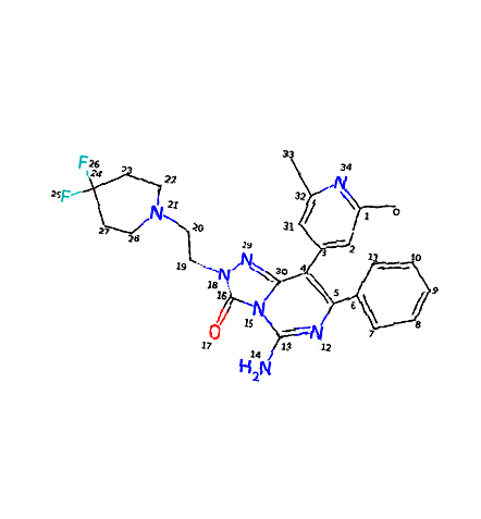 Cc1cc(-c2c(-c3ccccc3)nc(N)n3c(=O)n(CCN4CCC(F)(F)CC4)nc23)cc(C)n1